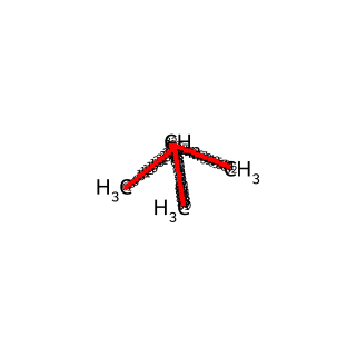 CCCCCCCCCCCCCCCCCCCCCCCCCCCCc1cc(CC)cc(CCCCCCCCCCCCCCCCCCCCCCCCCCCC)c1CCCCCCCCCCCCCCCCCCCCCCCCCCCC